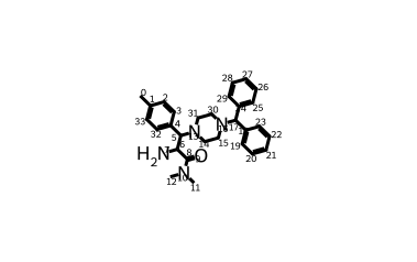 Cc1ccc(C(C(N)C(=O)N(C)C)N2CCN(C(c3ccccc3)c3ccccc3)CC2)cc1